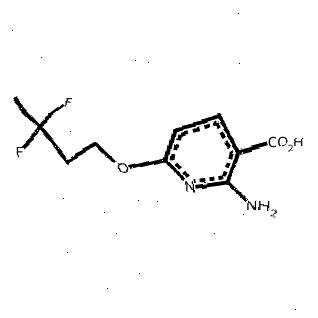 CC(F)(F)CCOc1ccc(C(=O)O)c(N)n1